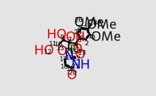 COc1cc(C(=O)[C@@]2(O)[C@H](O)[C@@H](CO)O[C@@]2(F)n2ccc(=O)[nH]c2=O)cc(OC)c1OC